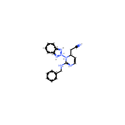 N#CCC1C=CN=C(NCc2ccccc2)N1n1nc2ccccc2n1